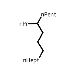 [CH2]CCCCC(CCC)CCCCCCCCCC